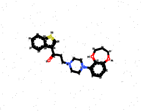 O=C(CCN1CCN(c2cccc3c2OCCCO3)CC1)c1csc2ccccc12